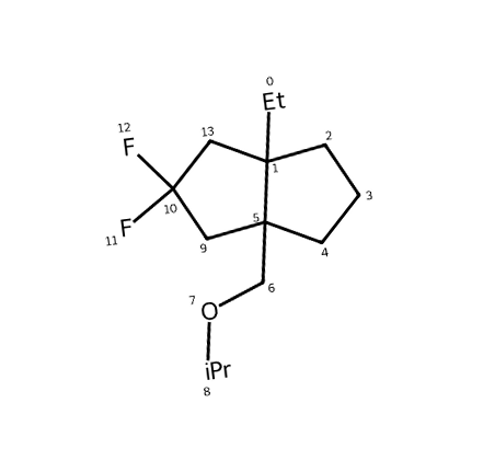 CCC12CCCC1(COC(C)C)CC(F)(F)C2